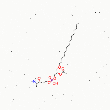 CCCCCCCCCCCCCCCCOCC(COP(=O)(O)OCCC1OCN(C)C1C)OC(C)=O